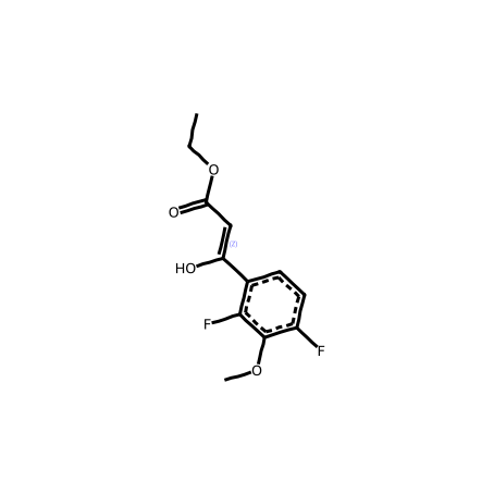 CCOC(=O)/C=C(\O)c1ccc(F)c(OC)c1F